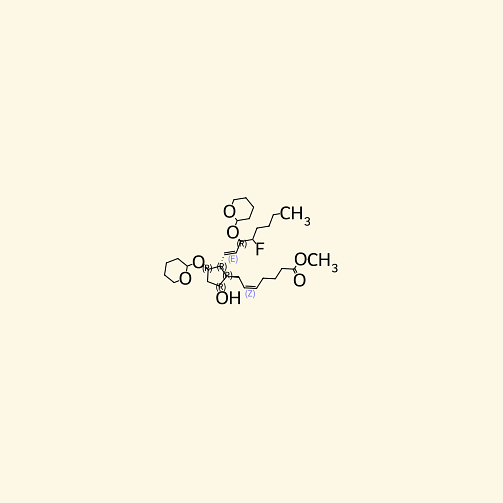 CCCCC(F)[C@@H](/C=C/[C@@H]1[C@@H](C/C=C\CCCC(=O)OC)[C@H](O)C[C@H]1OC1CCCCO1)OC1CCCCO1